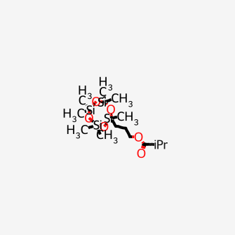 CC(C)C(=O)OCCC[Si]1(C)O[Si](C)(C)O[Si](C)(C)O[Si](C)(C)O1